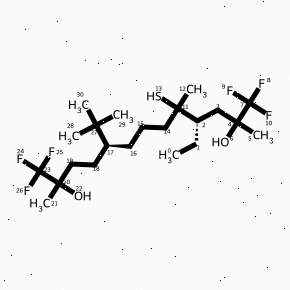 CC[C@@H](CC(C)(O)C(F)(F)F)C(C)(S)CCC[C@@H](CCC(C)(O)C(F)(F)F)C(C)(C)C